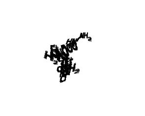 C=C(CNC(=O)c1nc(Cl)cnc1N)N(CC)c1cc(OCC(=O)NCCCN)ccc1NCC